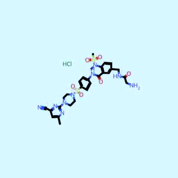 Cc1cc(C#N)nc(N2CCN(S(=O)(=O)c3ccc(NC(=O)c4cc(CNC(=O)CN)ccc4N(C)S(C)(=O)=O)cc3)CC2)n1.Cl